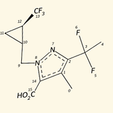 Cc1c(C(C)(F)F)nn(CC2C[C@H]2C(F)(F)F)c1C(=O)O